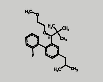 COCCO[C@H](c1cc(CC(C)C)ccc1-c1ccccc1F)C(C)(C)C